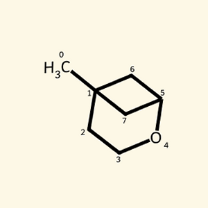 CC12CCOC(C1)C2